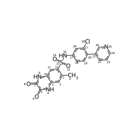 Cc1cc2[nH]c(=O)c(=O)[nH]c2cc1S(=O)(=O)Nc1ccc(-c2cccnc2)c(Cl)c1